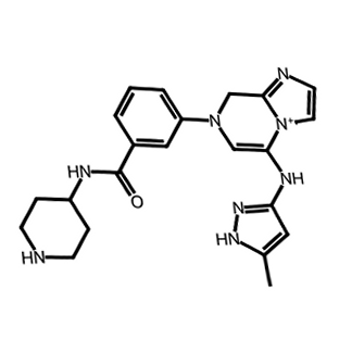 Cc1cc(NC2=CN(c3cccc(C(=O)NC4CCNCC4)c3)CC3=NC=C[N+]23)n[nH]1